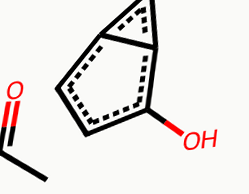 CC=O.Oc1ccc2cc1-2